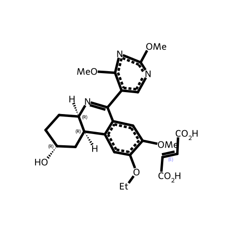 CCOc1cc2c(cc1OC)C(c1cnc(OC)nc1OC)=N[C@@H]1CC[C@@H](O)C[C@H]21.O=C(O)/C=C/C(=O)O